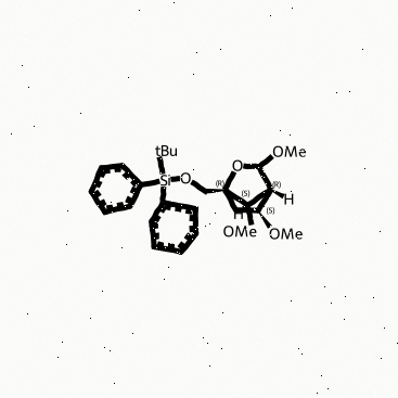 COC1O[C@@]2(CO[Si](c3ccccc3)(c3ccccc3)C(C)(C)C)C[C@H](OC)[C@@H]1[C@@H]2OC